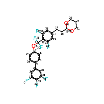 Fc1cc(-c2ccc(OC(F)(F)c3c(F)cc(CCC4OCCCO4)cc3F)cc2)cc(F)c1F